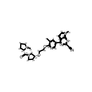 Cc1cc(-c2nc(C#N)nc3c2ccn3C)cnc1OCCO[C@@H]1CCN(C(=O)[C@@H]2CCCN2C)C1